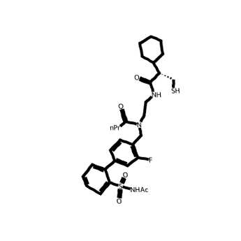 CCCC(=O)N(CCNC(=O)[C@@H](CS)C1CCCCC1)Cc1ccc(-c2ccccc2S(=O)(=O)NC(C)=O)cc1F